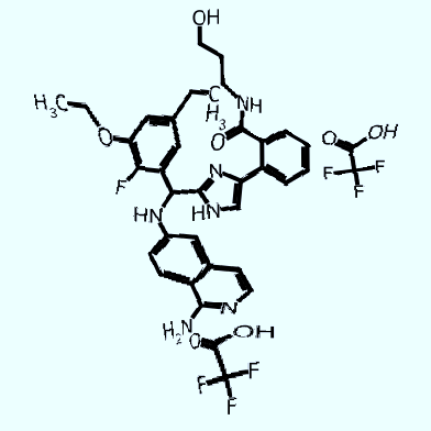 CCOc1cc(CC)cc(C(Nc2ccc3c(N)nccc3c2)c2nc(-c3ccccc3C(=O)NCCCO)c[nH]2)c1F.O=C(O)C(F)(F)F.O=C(O)C(F)(F)F